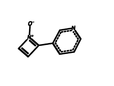 [O-][N+]1=C(c2cccnc2)C=C1